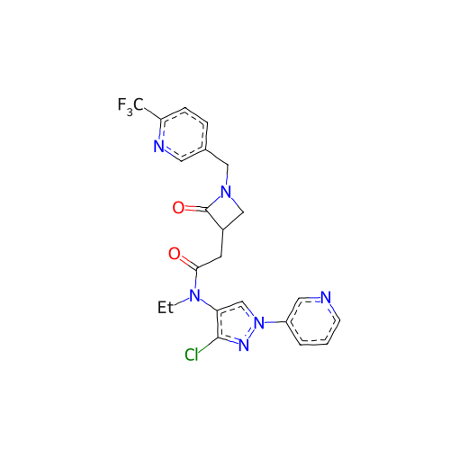 CCN(C(=O)CC1CN(Cc2ccc(C(F)(F)F)nc2)C1=O)c1cn(-c2cccnc2)nc1Cl